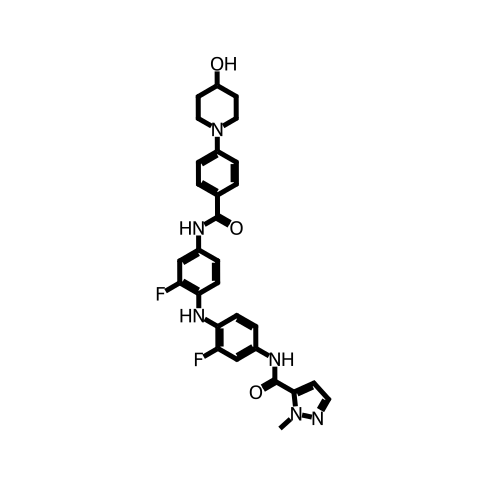 Cn1nccc1C(=O)Nc1ccc(Nc2ccc(NC(=O)c3ccc(N4CCC(O)CC4)cc3)cc2F)c(F)c1